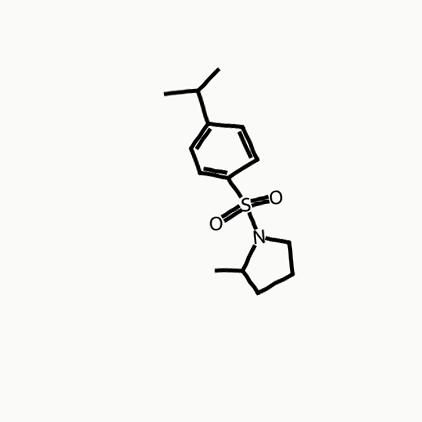 CC(C)c1ccc(S(=O)(=O)N2CCCC2C)cc1